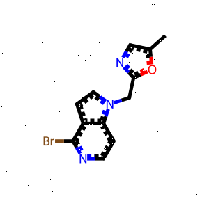 Cc1cnc(Cn2ccc3c(Br)nccc32)o1